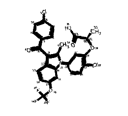 Cc1c(C(=O)c2ccc(Cl)cc2)c2ccc(OC(F)(F)F)cc2n1-c1ccc(Cl)c(O[C@H](C)C(=O)O)c1